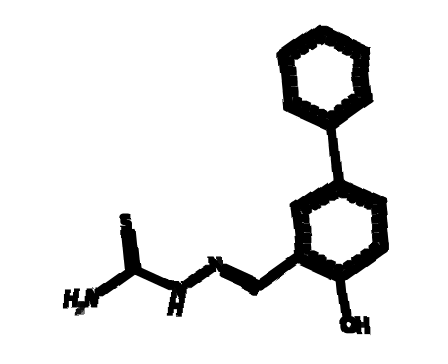 NC(=S)NN=Cc1cc(-c2ccccc2)ccc1O